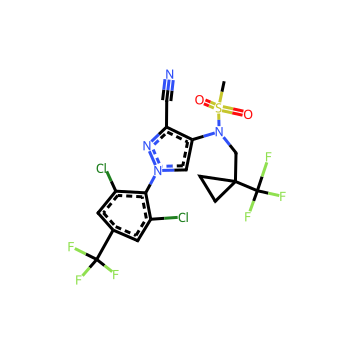 CS(=O)(=O)N(CC1(C(F)(F)F)CC1)c1cn(-c2c(Cl)cc(C(F)(F)F)cc2Cl)nc1C#N